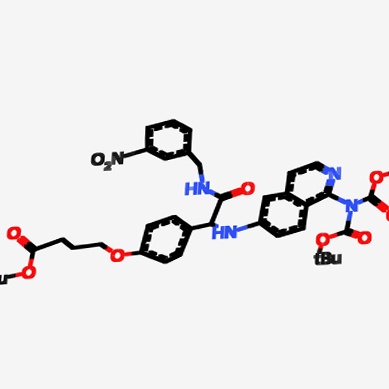 CCCCOC(=O)CCCOc1ccc(C(Nc2ccc3c(N(C(=O)OC(C)(C)C)C(=O)OC(C)(C)C)nccc3c2)C(=O)NCc2cccc([N+](=O)[O-])c2)cc1